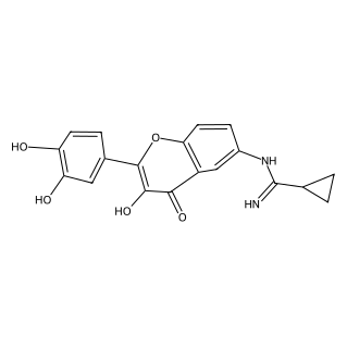 N=C(Nc1ccc2oc(-c3ccc(O)c(O)c3)c(O)c(=O)c2c1)C1CC1